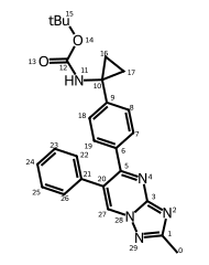 Cc1nc2nc(-c3ccc(C4(NC(=O)OC(C)(C)C)CC4)cc3)c(-c3ccccc3)cn2n1